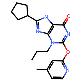 CCCn1c(Oc2cc(C)ccn2)nc(=O)c2c1N=C(C1CCCC1)[N]2